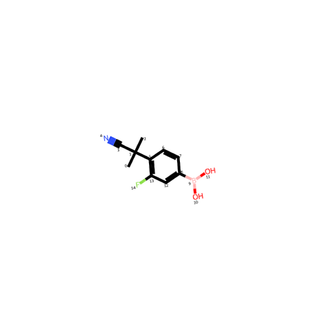 CC(C)(C#N)c1ccc(B(O)O)cc1F